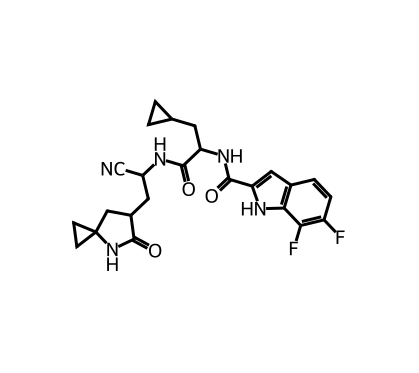 N#CC(CC1CC2(CC2)NC1=O)NC(=O)C(CC1CC1)NC(=O)c1cc2ccc(F)c(F)c2[nH]1